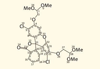 COC(COc1cc2c(cc1Cl)C1(OC(=O)c3ccccc31)c1cc(Cl)c(OCC(OC)OC)cc1O2)OC